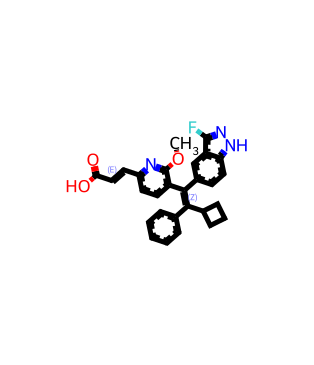 COc1nc(/C=C/C(=O)O)ccc1/C(=C(\c1ccccc1)C1CCC1)c1ccc2[nH]nc(F)c2c1